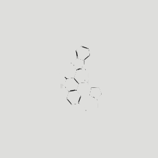 O=c1[nH]c2ccc(Br)cc2c(N[C@H]2CCNC2)c1-c1nc2ccccc2[nH]1